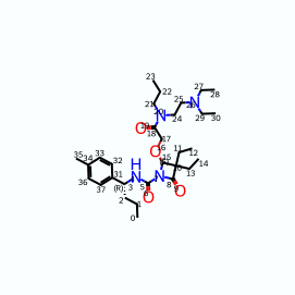 CCC[C@@H](NC(=O)N1C(=O)C(CC)(CC)[C@@H]1OCC(=O)N(CCC)CCN(CC)CC)c1ccc(C)cc1